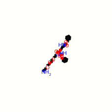 NCCCOCCOCCOCCCNC(=O)[C@H](CCCCNC(=O)OCc1ccccc1)NC(=O)OCc1ccccc1